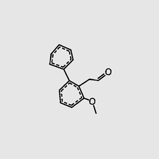 COc1cccc(-c2ccccc2)c1CC=O